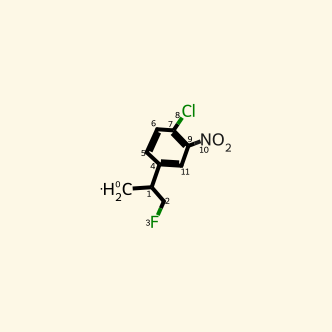 [CH2]C(CF)c1ccc(Cl)c([N+](=O)[O-])c1